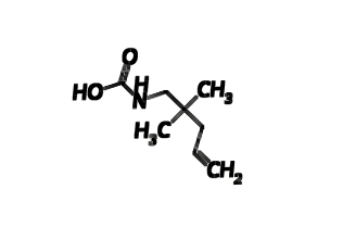 C=CCC(C)(C)CNC(=O)O